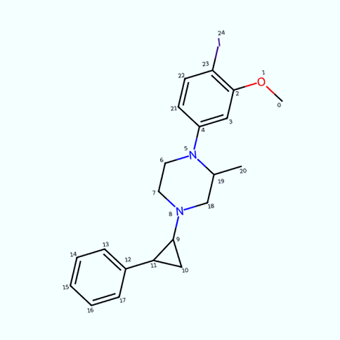 COc1cc(N2CCN(C3CC3c3ccccc3)CC2C)ccc1I